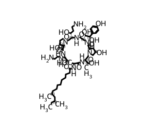 CC[C@H](C)C[C@H](C)CCCCCCCCC(=O)N[C@H]1C[C@@H](O)[C@@H](NCCN)NC(=O)[C@@H]2[C@@H](O)CCN2C(=O)[C@H](C(O)CCN)NC(=O)[C@H](C(O)[C@@H](O)c2ccc(O)cc2)NC(=O)[C@@H]2C[C@@H](O)CN2C(=O)[C@H]([C@@H](C)O)NC1=O